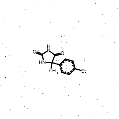 CCc1ccc(C2(C)NC(=O)NC2=O)cc1